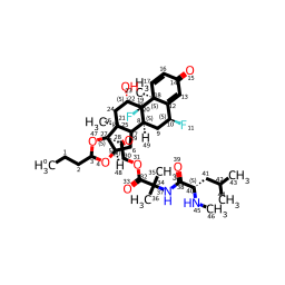 CCCC1O[C@@H]2CC3[C@@H]4C[C@H](F)C5=CC(=O)C=C[C@]5(C)[C@@]4(F)[C@@H](O)C[C@]3(C)[C@]2(C(=O)COC(=O)C(C)(C)NC(=O)[C@H](CC(C)C)NC)O1